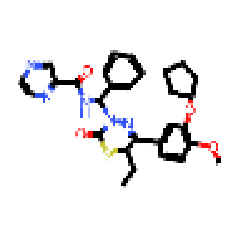 CCC1SC(=O)N(C(NC(=O)c2cnccn2)c2ccccc2)N=C1c1ccc(OC)c(OC2CCCC2)c1